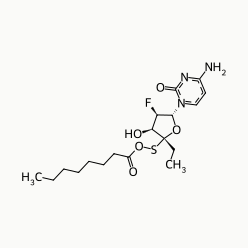 CCCCCCCC(=O)OS[C@@]1(CC)O[C@@H](n2ccc(N)nc2=O)[C@H](F)[C@@H]1O